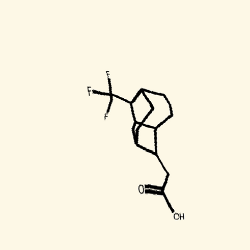 O=C(O)CC1C2CCC3CC1C2C3C(F)(F)F